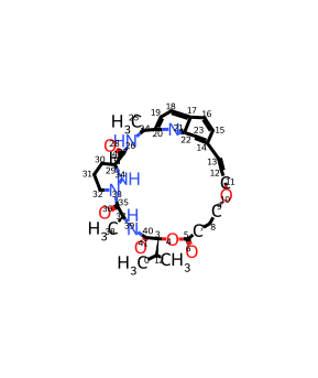 CC(C)[C@@H]1OC(=O)CCCOC/C=C/c2ccc3ccc(nc3c2)[C@@H](C)NC(=O)[C@@H]2CCCN(N2)C(=O)[C@H](C)NC1=O